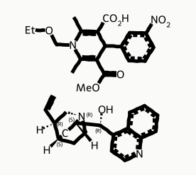 C=C[C@H]1C[N@]2CC[C@H]1C[C@H]2[C@H](O)c1ccnc2ccccc12.CCOCN1C(C)=C(C(=O)O)C(c2cccc([N+](=O)[O-])c2)C(C(=O)OC)=C1C